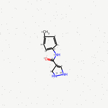 Cc1ccc(NC(=O)C2=CNNC2)cc1